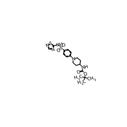 CC(C)(C)OC(=O)NC1CCN(c2ccc(S(=O)(=O)Nc3ncns3)cc2)CC1